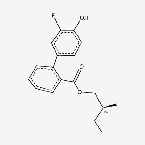 CC[C@H](C)COC(=O)c1ccccc1-c1ccc(O)c(F)c1